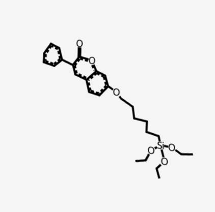 CCO[Si](CCCCCCOc1ccc2cc(-c3ccccc3)c(=O)oc2c1)(OCC)OCC